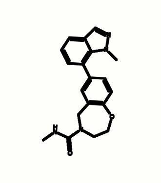 CNC(=O)N1CCOc2ccc(-c3cccc4cnn(C)c34)cc2C1